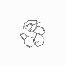 Cc1cc[n+]2c(c1)-c1c(ccc3c1-c1c4ccccc4cc[n+]1CCC3)CCC2